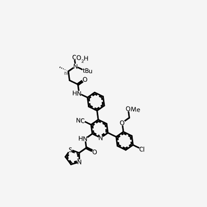 COCOc1cc(Cl)ccc1-c1cc(-c2cccc(NC(=O)C[C@H](C)N(C(=O)O)C(C)(C)C)c2)c(C#N)c(NC(=O)c2nccs2)n1